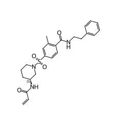 C=CC(=O)N[C@H]1CCCN(S(=O)(=O)c2ccc(C(=O)NCCc3ccccc3)c(C)c2)C1